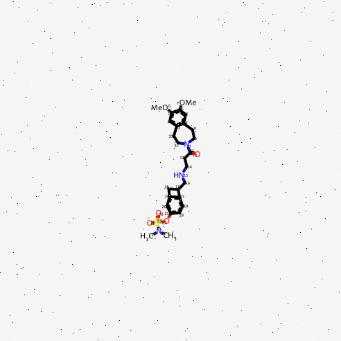 COc1cc2c(cc1OC)CCN(C(=O)CCNCC1Cc3cc(OS(=O)(=O)N(C)C)ccc31)CC2